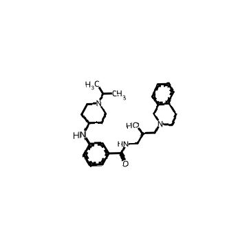 CC(C)N1CCC(Nc2cccc(C(=O)NCC(O)CN3CCc4ccccc4C3)c2)CC1